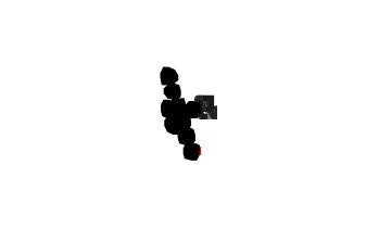 N#Cc1cc2c(cc1C#N)c1cc(-c3ccc(-c4ccccc4)cc3)c3ccccc3c1c1c3ccccc3c(-c3ccc(-c4ccccc4)cc3)cc21